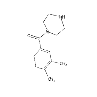 CC1=C(C)CCC(C(=O)N2CCNCC2)=C1